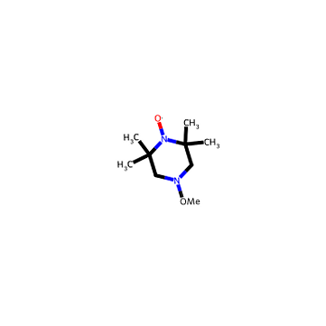 CON1CC(C)(C)N([O])C(C)(C)C1